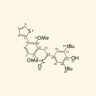 COc1ccc(-c2cccs2)c(OC)c1CC(=C=O)c1cc(C(C)(C)C)c(O)c(C(C)(C)C)c1